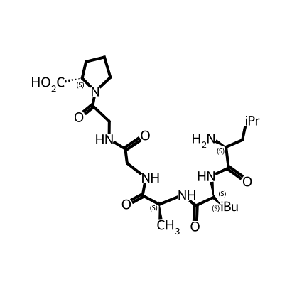 CC[C@H](C)[C@H](NC(=O)[C@@H](N)CC(C)C)C(=O)N[C@@H](C)C(=O)NCC(=O)NCC(=O)N1CCC[C@H]1C(=O)O